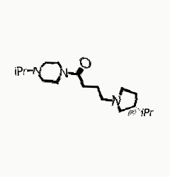 CC(C)[C@H]1CCN(CCCC(=O)N2CCN(C(C)C)CC2)C1